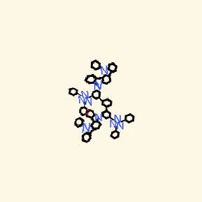 c1ccc(-c2nc(-c3ccccc3)nc(-c3cc(-c4cccc(-c5cc(-c6nc(-c7ccccc7)nc(-c7ccccc7)n6)cc(-n6c7ccccc7c7c6ccc6c8ccccc8n(-c8ccccc8)c67)c5)c4)cc(-n4c5ccccc5c5c4ccc4c6ccccc6n(-c6ccccc6)c45)c3)n2)cc1